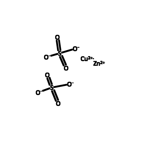 O=S(=O)([O-])[O-].O=S(=O)([O-])[O-].[Cu+2].[Zn+2]